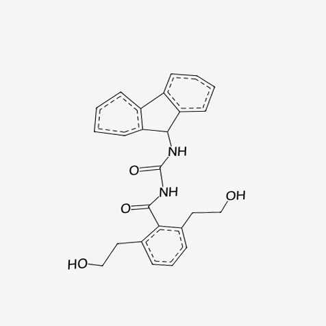 O=C(NC(=O)c1c(CCO)cccc1CCO)NC1c2ccccc2-c2ccccc21